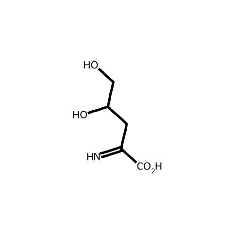 N=C(CC(O)CO)C(=O)O